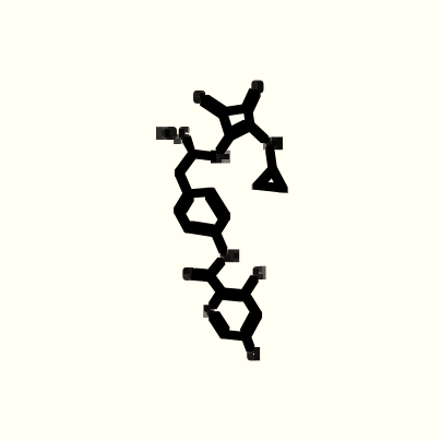 O=C(Nc1ccc(C[C@H](Nc2c(NC3CC3)c(=O)c2=O)C(=O)O)cc1)c1ncc(Cl)cc1Cl